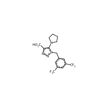 O=C(O)c1nnn(Cc2cc(C(F)(F)F)cc(C(F)(F)F)c2)c1N1CCCC1